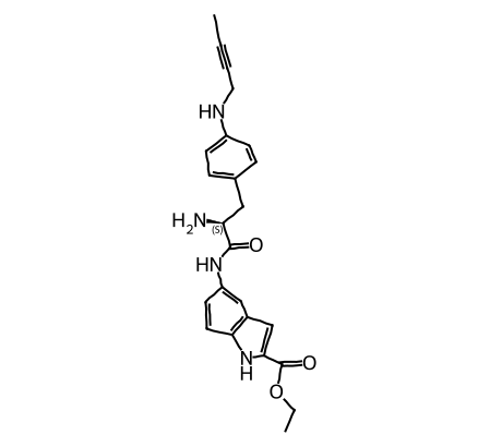 CC#CCNc1ccc(C[C@H](N)C(=O)Nc2ccc3[nH]c(C(=O)OCC)cc3c2)cc1